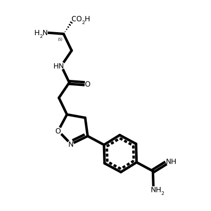 N=C(N)c1ccc(C2=NOC(CC(=O)NC[C@H](N)C(=O)O)C2)cc1